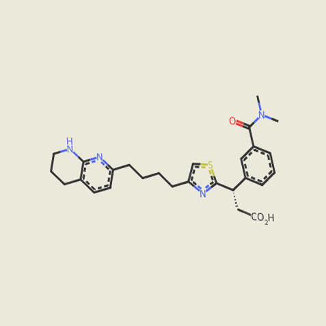 CN(C)C(=O)c1cccc([C@H](CC(=O)O)c2nc(CCCCc3ccc4c(n3)NCCC4)cs2)c1